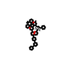 Cc1cc(-c2cc(-c3ccccc3)nc(-c3ccccc3)n2)c2c(c1)C1(c3ccc(-c4ccc(-c5ccc(-c6cccc(-c7ccccc7)c6)cc5)cc4)cc3-2)c2ccccc2C(C)(C)c2ccccc21